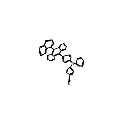 N#Cc1ccc(N(c2ccccc2)c2ccc(-c3c4ccccc4c(-c4cccc5ccccc45)c4ccccc34)cc2)cc1